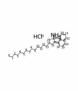 CCCCCCCCCCCCCCCCC(c1cccc2ccccc12)C(C)(C)N.Cl